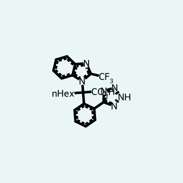 CCCCCCC(C(=O)O)(c1ccccc1-c1nn[nH]n1)n1c(C(F)(F)F)nc2ccccc21